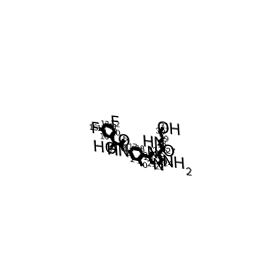 Cc1cc(NC(=O)C(O)c2cc(F)cc(F)c2)ccc1-c1cnc(N)c(C(=O)NCCO)n1